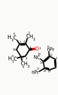 CC1=C(C)C(=O)CC(C)(C)C1.CCCc1cccc(CCC)c1C#N